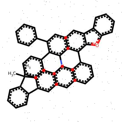 CC1(C)c2ccccc2-c2ccc(N(c3ccccc3-c3cccc4c3oc3ccccc34)c3cccc(-c4ccccc4)c3-c3ccccc3-c3ccccc3)cc21